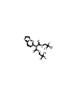 O=C(OCC(Cl)(Cl)Cl)N(C(=O)OCC(Cl)(Cl)Cl)c1ccc2nccn2n1